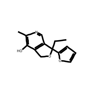 CCC1(c2ccco2)OCc2c1cnc(C)c2O